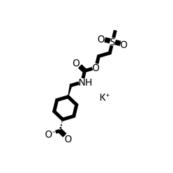 CS(=O)(=O)CCOC(=O)NC[C@H]1CC[C@H](C(=O)[O-])CC1.[K+]